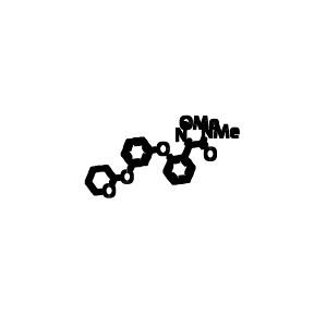 CNC(=O)C(=NOC)c1ccccc1Oc1cccc(OC2CCCCO2)c1